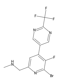 CNCc1cc(-c2cnc(C(F)(F)F)nc2)c(F)c(Br)n1